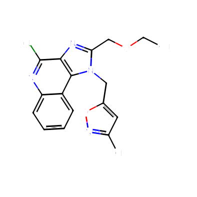 CCOCc1nc2c(Cl)nc3ccccc3c2n1Cc1cc(C)no1